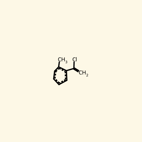 C=C(Cl)c1ccccc1C